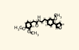 COc1ccc(CC(=O)NCCc2ccc(-c3ccoc3)c(OC)c2)cc1OC